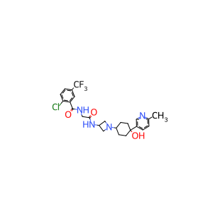 Cc1ccc(C2(O)CCC(N3CC(NC(=O)CNC(=O)c4cc(C(F)(F)F)ccc4Cl)C3)CC2)cn1